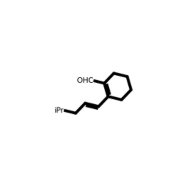 CC(C)CC=CC1=C(C=O)CCCC1